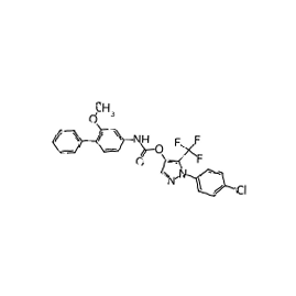 COc1cc(NC(=O)Oc2cnn(-c3ccc(Cl)cc3)c2C(F)(F)F)ccc1-c1ccccc1